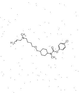 C=CCN(C)CCCCOCC1CCC(N(C)C(=O)Oc2ccc(Cl)cc2)CC1